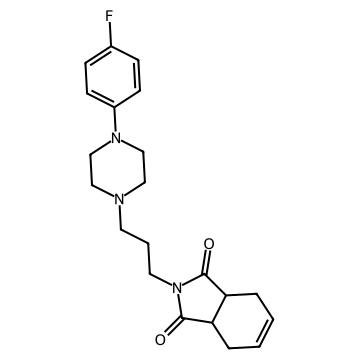 O=C1C2CC=CCC2C(=O)N1CCCN1CCN(c2ccc(F)cc2)CC1